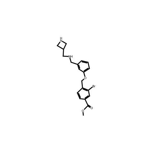 COC(=O)c1ccc(COc2cccc(CNCC3CNC3)c2)c(Br)c1